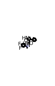 C/C(=N/NC(=O)C1C(=O)NCC1c1ccccc1)c1ccc(F)c(F)c1